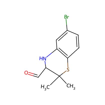 CC1(C)Sc2ccc(Br)cc2NC1C=O